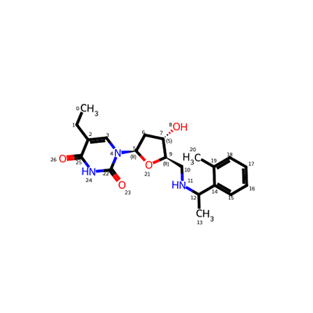 CCc1cn([C@H]2C[C@H](O)[C@@H](CNC(C)c3ccccc3C)O2)c(=O)[nH]c1=O